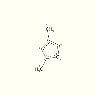 Cc1[c]c(C)oc1